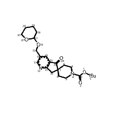 CC(C)(C)OC(=O)N1CCC2(CC1)Cc1ncc(COC3CCCCO3)cc1C2=O